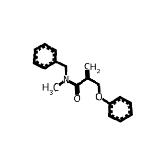 C=C(COc1ccccc1)C(=O)N(C)Cc1ccccc1